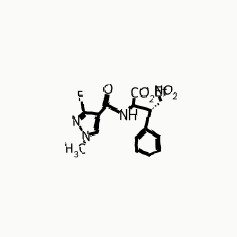 CCOC(=O)C(NC(=O)c1cn(C)nc1F)[C@H](C[N+](=O)[O-])c1ccccc1